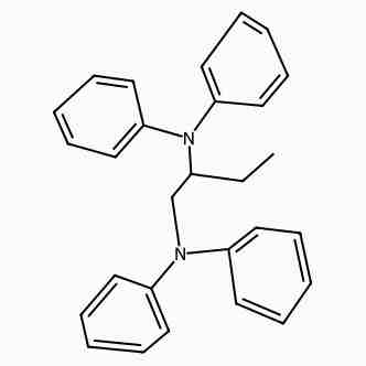 CCC(CN(c1ccccc1)c1ccccc1)N(c1ccccc1)c1ccccc1